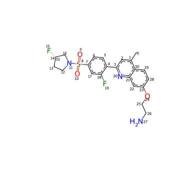 Cc1cc(-c2ccc(S(=O)(=O)N3CC[C@H](F)C3)cc2F)nc2cc(OCCN)ccc12